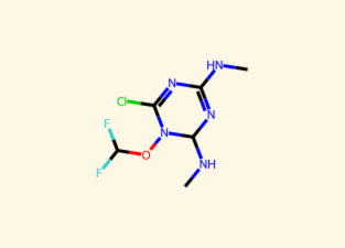 CNC1=NC(NC)N(OC(F)F)C(Cl)=N1